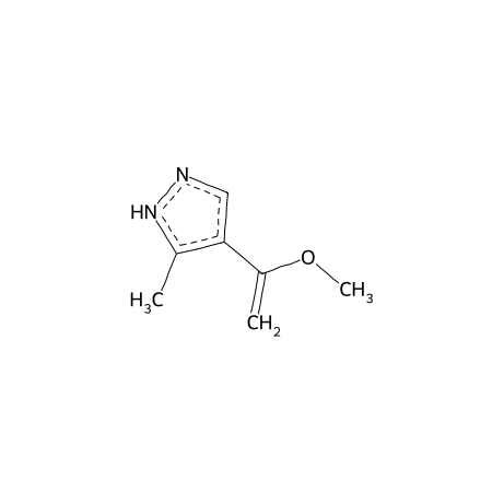 C=C(OC)c1cn[nH]c1C